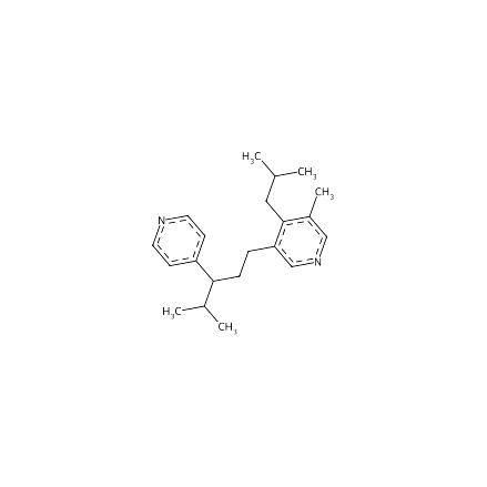 Cc1cncc(CCC(c2ccncc2)C(C)C)c1CC(C)C